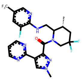 C[C@@H]1CC(F)(F)CN(C(=O)c2nn(C)cc2-c2ncccn2)C1CNc1ncc(C(F)(F)F)cc1F